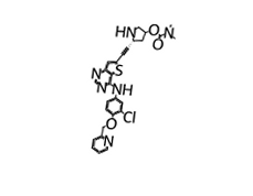 CN(C)C(=O)O[C@@H]1CN[C@@H](C#Cc2cc3ncnc(Nc4ccc(OCc5ccccn5)c(Cl)c4)c3s2)C1